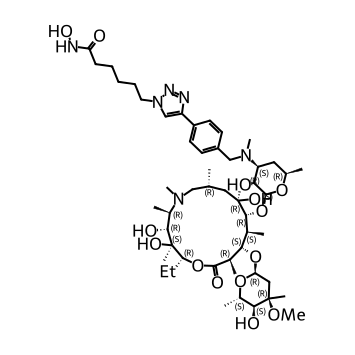 CC[C@H]1OC(=O)[C@H](C)[C@@H](O[C@H]2C[C@@](C)(OC)[C@@H](O)[C@H](C)O2)[C@H](C)[C@@H](O[C@@H]2O[C@H](C)C[C@H](N(C)Cc3ccc(-c4cn(CCCCCC(=O)NO)nn4)cc3)[C@H]2O)[C@](C)(O)C[C@@H](C)CN(C)[C@H](C)[C@@H](O)[C@]1(C)O